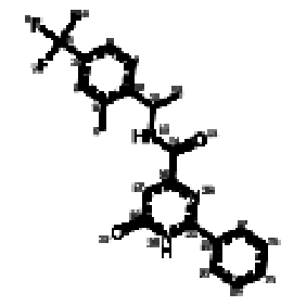 Cc1cc(C(F)(F)F)ccc1C(C)NC(=O)c1cc(=O)[nH]c(-c2ccccc2)n1